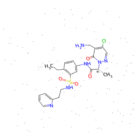 CCc1ccc(NC(=O)[C@@H](C)n2ncc(Cl)c(CN)c2=O)cc1S(=O)(=O)NCCc1ccccn1